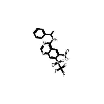 CC(Nc1ncnc2cc(S(=O)(=O)C(F)(F)F)c([N+](=O)[O-])cc12)c1ccccc1